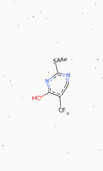 CSc1ncc(C(F)(F)F)c(O)n1